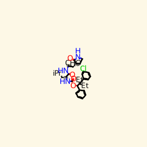 CCC(CC)(c1cccc(Cl)c1)C(OC(=O)N[C@@H](CC(C)C)C(=O)N[C@H](C=O)C[C@@H]1CCNC1=O)c1ccccc1